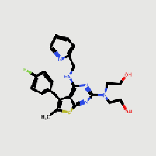 Cc1sc2nc(N(CCO)CCO)nc(NCc3ccccn3)c2c1-c1ccc(F)cc1